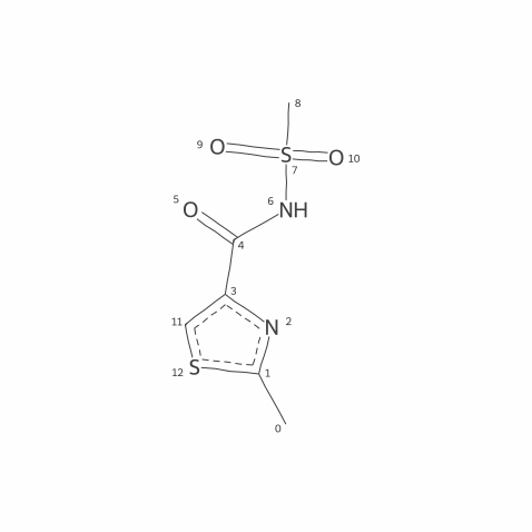 Cc1nc(C(=O)NS(C)(=O)=O)cs1